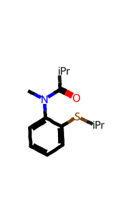 CC(C)Sc1ccccc1N(C)C(=O)C(C)C